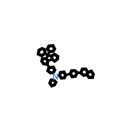 c1ccc(N(c2ccc(-c3ccc(-c4ccc5ccccc5c4)cc3)cc2)c2ccc(-c3cccc4c3-c3ccccc3C4(c3ccccc3)c3ccccc3)cc2)cc1